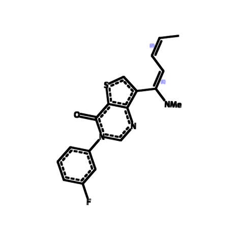 C/C=C\C=C(\NC)c1csc2c(=O)n(-c3cccc(F)c3)cnc12